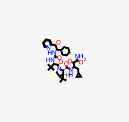 CC(C)(C)[C@H](NC(=O)N[C@H](C(=O)c1ccccn1)C1CCCCC1)C(=O)N1CC2[C@@H]([C@H]1C(=O)NC(CC1CC1)C(=O)C(N)=O)C2(C)C